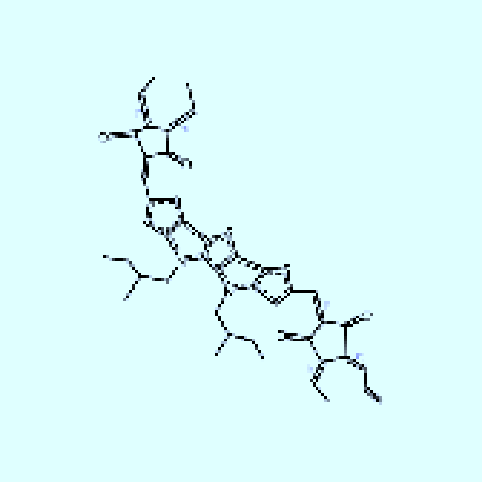 C=C/C=C1/C(=O)/C(=C/c2cc3c(s2)c2sc4c5sc(C=C6C(=O)C(=C/C)/C(=C\C)C6=O)cc5n(CC(C)CC)c4c2n3CC(C)CC)C(=O)/C1=C/C